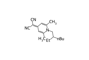 CCCCC(CC)CN1C(C)=CC(=C(C#N)C#N)C=C1C